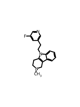 CN1CCc2c(c3ccccc3n2CCc2cncc(F)c2)C1